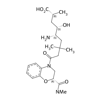 CNC(=O)[C@H]1CN(C(=O)CC(C)(C)C[C@H](N)[C@@H](O)C[C@@H](C)C(=O)O)c2ccccc2O1